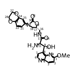 COc1ccc2nccc([C@H](O)[C@@H](N)C(=O)NC[C@@H]3CN(c4ccc5c(c4)OCCO5)C(=O)O3)c2n1